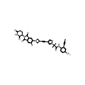 CC#Cc1cc(C(F)(F)F)ccc1NC(=O)C(C)(C)n1cc(C#CC2CN(c3cc4c(cc3F)C(=O)N(C3CCC(=O)NC3=O)C4=O)C2)cn1